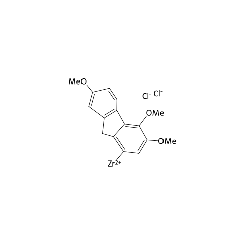 COc1ccc2c(c1)Cc1[c]([Zr+2])cc(OC)c(OC)c1-2.[Cl-].[Cl-]